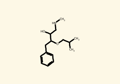 CNCC(O)C(Cc1ccccc1)OCC(C)C